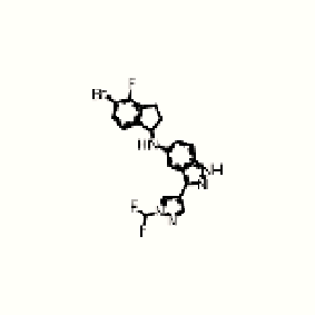 Fc1c(Br)ccc2c1CCC2Nc1ccc2[nH]nc(-c3cnn(C(F)F)c3)c2c1